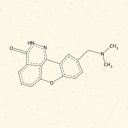 CN(C)Cc1ccc2c(c1)-c1n[nH]c(=O)c3cccc(c13)O2